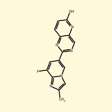 Cc1cn2cc(-c3ncc4nc(O)ccc4n3)cc(F)c2n1